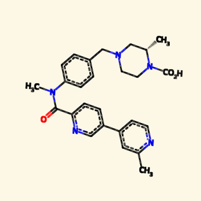 Cc1cc(-c2ccc(C(=O)N(C)c3ccc(CN4CCN(C(=O)O)[C@@H](C)C4)cc3)nc2)ccn1